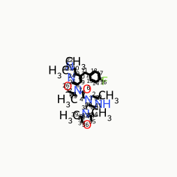 C[C@@H]1CN(CC(=O)N2c3cc(Cc4ccc(F)cc4)c(CN(C)C)nc3OC[C@@H]2C)[C@@H](CN2[C@H](C)COC[C@H]2C)CN1